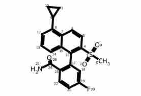 CS(=O)(=O)c1ccc2c(C3CC3)cccc2c1-c1cc(F)ccc1C(N)=O